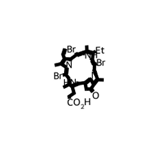 C=CC1=C(C)c2nc1c(Br)c1[nH]c(c(Br)c3nc4c(c5[nH]c(c(C)c5CCC(=O)O)c2Br)CC(=O)C4=C3C)c(CC)c1C